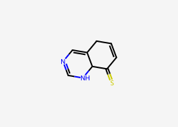 S=C1C=CCC2=CN=CNC12